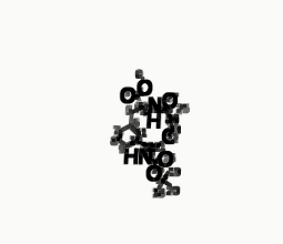 COC(=O)[C@H]1Cc2cccc(c2)[C@@H](NC(=O)OC(C)(C)C)CCC[C@@H](C)C(=O)N1